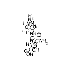 CN1c2c(nc(N)[nH]c2=O)NC[C@H]1CNc1ccc(C(=O)NC(CCC(=O)O)C(=O)O)cc1.C[C@@H](N)c1ccccc1